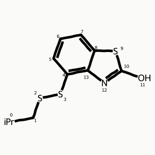 CC(C)CSSc1cccc2sc(O)nc12